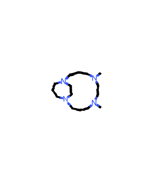 CN1CCCN2CCCN(CCCN(C)CC1)CC2